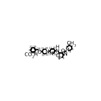 CC1CCCN(c2nc(CF)c(C(=O)Nc3ccc(N4CCC(OCc5ccccc5C(=O)O)CC4)nc3)o2)C1